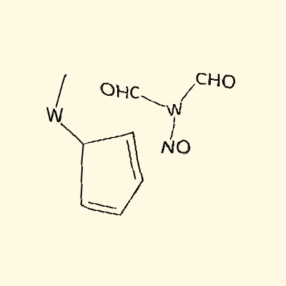 O=[CH][W]([CH]=O)[N]=O.[CH3][W][CH]1C=CC=C1